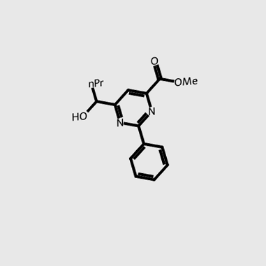 CCCC(O)c1cc(C(=O)OC)nc(-c2ccccc2)n1